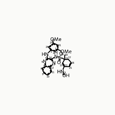 COc1cc(Nc2nc3ccccc3nc2NS(=O)(=O)C2(C)C=C(NO)C=CC2)cc(OC)c1